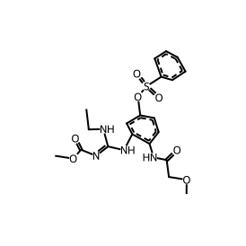 CCN/C(=N\C(=O)OC)Nc1cc(OS(=O)(=O)c2ccccc2)ccc1NC(=O)COC